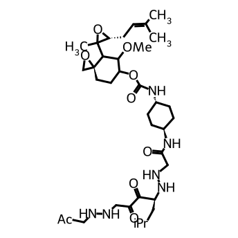 COC1C(OC(=O)N[C@H]2CC[C@H](NC(=O)CNN[C@@H](CC(C)C)C(=O)C(=O)CNNCC(C)=O)CC2)CC[C@]2(CO2)C1C1(C)O[C@@H]1CC=C(C)C